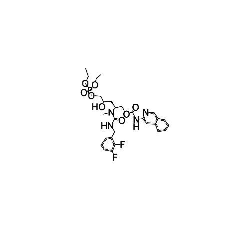 CCOP(=O)(OCC)OC[C@@H](O)C[C@@H](COC(=O)Nc1cc2ccccc2cn1)N(C)C(=O)NCc1cccc(F)c1F